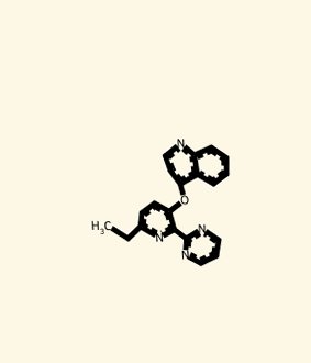 CCc1ccc(Oc2ccnc3ccccc23)c(-c2ncccn2)n1